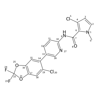 Cn1ccc(Cl)c1C(=O)Nc1ccc(-c2cc3c(cc2Cl)OC(F)(F)O3)cn1